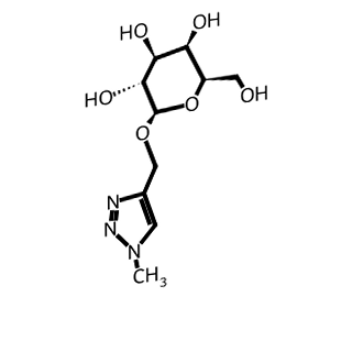 Cn1cc(CO[C@@H]2O[C@H](CO)[C@H](O)[C@H](O)[C@H]2O)nn1